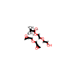 C(OCC1CO1)C1CO1.C=C(C)C(=O)OCCOCCO